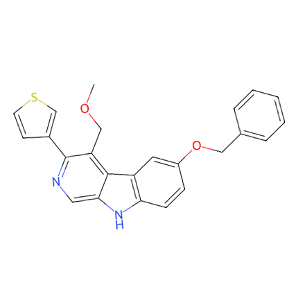 COCc1c(-c2ccsc2)ncc2[nH]c3ccc(OCc4ccccc4)cc3c12